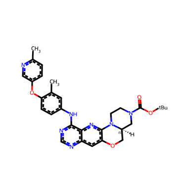 Cc1ccc(Oc2ccc(Nc3ncnc4cc5c(nc34)N3CCN(C(=O)OC(C)(C)C)C[C@H]3CO5)cc2C)cn1